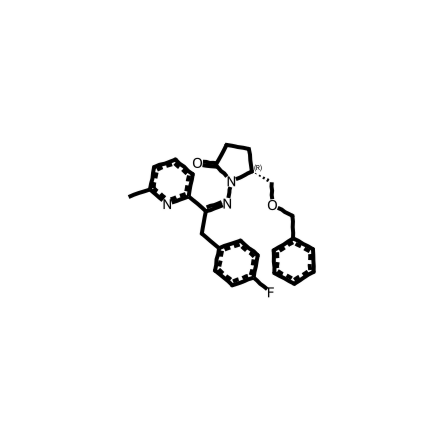 Cc1cccc(C(Cc2ccc(F)cc2)=NN2C(=O)CC[C@@H]2COCc2ccccc2)n1